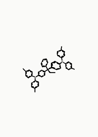 CCC(c1ccccc1)(c1ccc(N(c2ccc(C)cc2)c2ccc(C)cc2)cc1)c1ccc(N(c2ccc(C)cc2)c2ccc(C)cc2)cc1